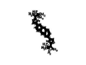 CC(C)(C)[C@H](N)c1ncc(-c2ccc3cc4cc(-c5cnc([C@@H](N)C(C)(C)C)[nH]5)ccc4cc3c2)[nH]1